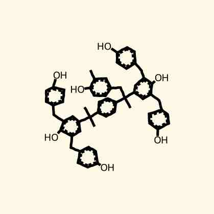 Cc1cc(CC(C)(c2ccc(C(C)(C)c3cc(Cc4ccc(O)cc4)c(O)c(Cc4ccc(O)cc4)c3)cc2)c2cc(Cc3ccc(O)cc3)c(O)c(Cc3ccc(O)cc3)c2)ccc1O